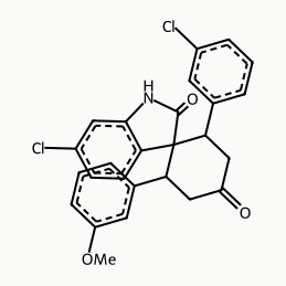 COc1cccc(C2CC(=O)CC(c3cccc(Cl)c3)C23C(=O)Nc2cc(Cl)ccc23)c1